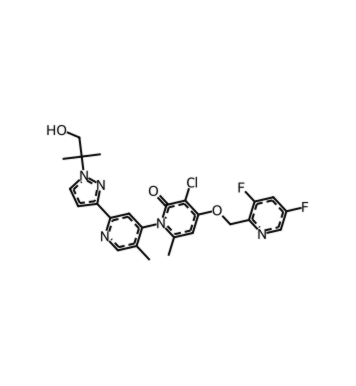 Cc1cnc(-c2ccn(C(C)(C)CO)n2)cc1-n1c(C)cc(OCc2ncc(F)cc2F)c(Cl)c1=O